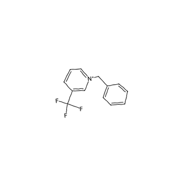 FC(F)(F)c1ccc[n+](Cc2ccccc2)c1